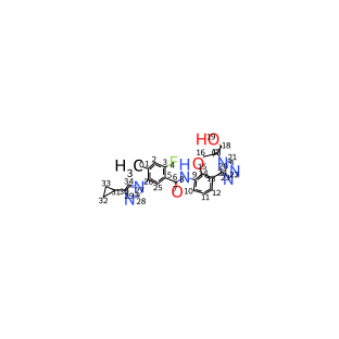 Cc1cc(F)c(C(=O)Nc2cccc3c2OC[C@@H](CO)n2cnnc2-3)cc1-n1cnc(C2CC2)c1